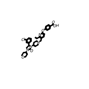 CCc1nc(Oc2ccc(C(=O)O)cc2)ccc1CN1CCC(N2C(=O)N(C3CCOCC3)CC2c2cccc(Cl)c2)CC1